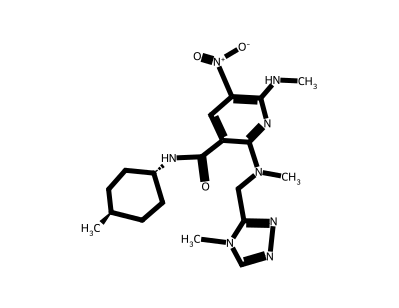 CNc1nc(N(C)Cc2nncn2C)c(C(=O)N[C@H]2CC[C@H](C)CC2)cc1[N+](=O)[O-]